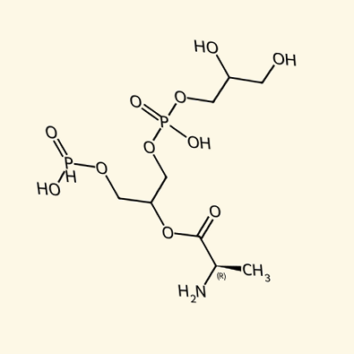 C[C@@H](N)C(=O)OC(CO[PH](=O)O)COP(=O)(O)OCC(O)CO